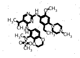 CCc1cc(Nc2ncc(C(C)C)c(Nc3ccc4c(c3N(C)S(C)(=O)=O)OCCO4)n2)c(OC)cc1N1CCN(C)CC1